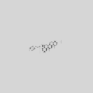 CN1CCN(CCCNC(=O)[C@]23CCC(C)(C)C[C@H]2C2=CC[C@@H]4[C@@]5(C)CC[C@H](O)C(C)(C)C5CC[C@@]4(C)[C@]2(C)CC3)CC1